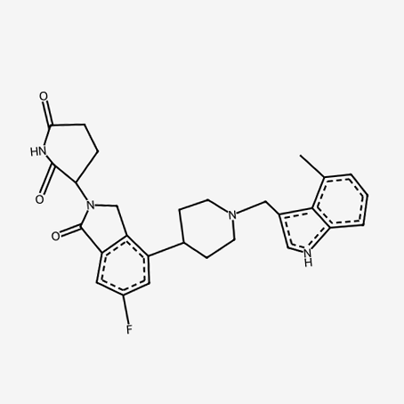 Cc1cccc2[nH]cc(CN3CCC(c4cc(F)cc5c4CN(C4CCC(=O)NC4=O)C5=O)CC3)c12